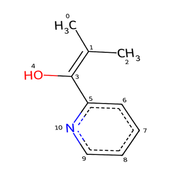 CC(C)=C(O)c1ccccn1